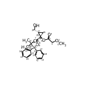 COCC(=O)O[C@@]1(CO[Si](c2ccccc2)(c2ccccc2)C(C)(C)C)C[C@H]1CO